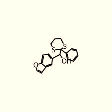 OC(c1ccc2occc2c1)C1(c2ccccc2)SCCCS1